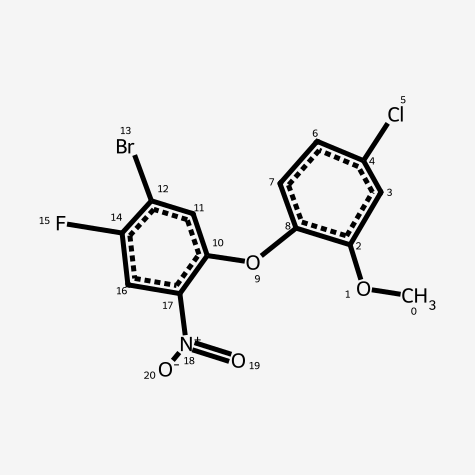 COc1cc(Cl)ccc1Oc1cc(Br)c(F)cc1[N+](=O)[O-]